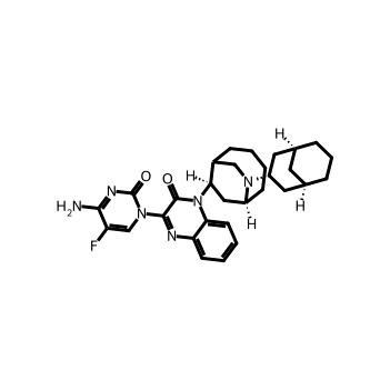 Nc1nc(=O)n(-c2nc3ccccc3n([C@@H]3C[C@@H]4CCCCC3CN4[C@H]3C[C@@H]4CCC[C@@H](C4)C3)c2=O)cc1F